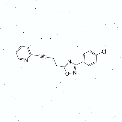 Clc1ccc(-c2noc(CCC#Cc3ccccn3)n2)cc1